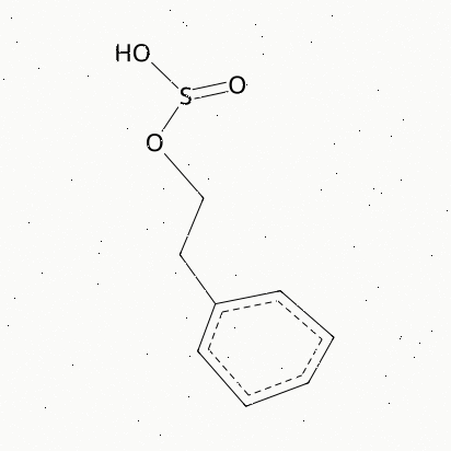 O=S(O)OCCc1ccccc1